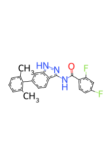 Cc1cccc(C)c1-c1ccc2c(NC(=O)c3ccc(F)cc3F)n[nH]c2c1